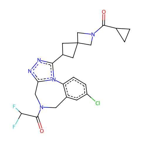 O=C(C(F)F)N1Cc2cc(Cl)ccc2-n2c(nnc2C2CC3(C2)CN(C(=O)C2CC2)C3)C1